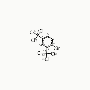 ClC(Cl)(Cl)c1ccc(Br)c(C(Cl)(Cl)Cl)c1